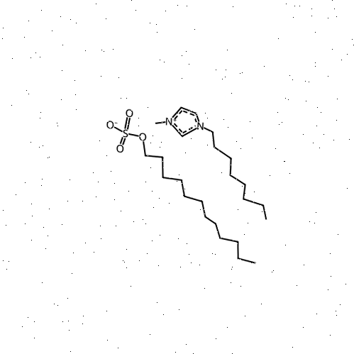 CCCCCCCCCCCCOS(=O)(=O)[O-].CCCCCCCCn1cc[n+](C)c1